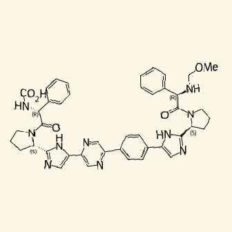 COCN[C@@H](C(=O)N1CCC[C@H]1c1ncc(-c2ccc(-c3cnc(-c4cnc([C@@H]5CCCN5C(=O)[C@H](NC(=O)O)c5ccccc5)[nH]4)cn3)cc2)[nH]1)c1ccccc1